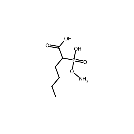 CCCCC(C(=O)O)P(=O)(O)ON